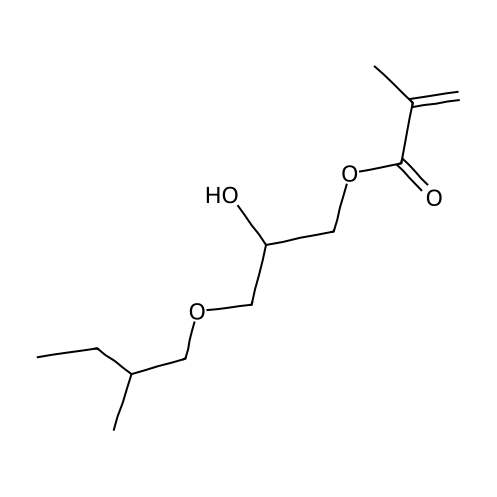 C=C(C)C(=O)OCC(O)COCC(C)CC